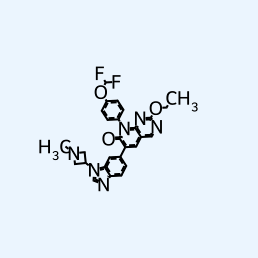 CCOc1ncc2cc(-c3ccc4ncn(C5CN(C)C5)c4c3)c(=O)n(-c3ccc(OC(F)F)cc3)c2n1